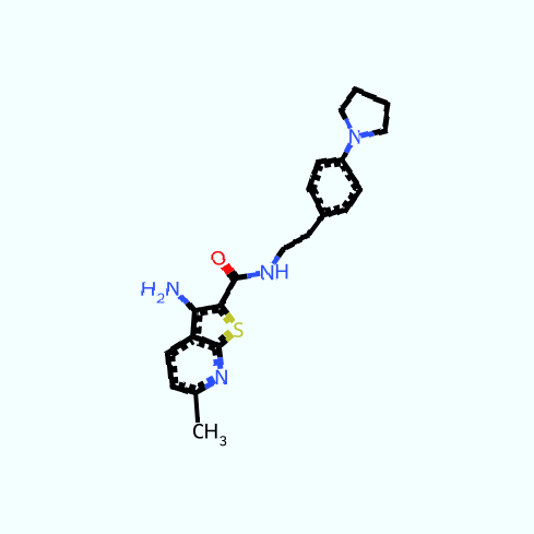 Cc1ccc2c(N)c(C(=O)NCCc3ccc(N4CCCC4)cc3)sc2n1